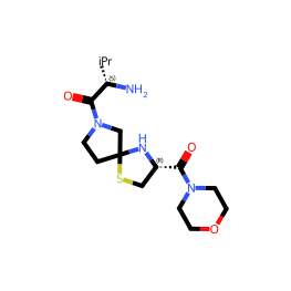 CC(C)[C@H](N)C(=O)N1CCC2(C1)N[C@H](C(=O)N1CCOCC1)CS2